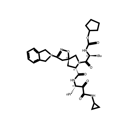 CCC[C@H](NC(=O)[C@@H]1C[C@]2(CC(N3Cc4ccccc4C3)=NO2)CN1C(=O)[C@@H](NC(=O)OC1CCCC1)C(C)(C)C)C(=O)C(=O)NC1CC1